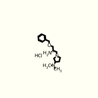 CN(C)C1CCN(C[C@H](N)COCc2ccccc2)C1.Cl